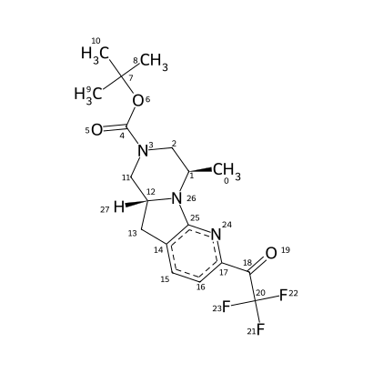 C[C@@H]1CN(C(=O)OC(C)(C)C)C[C@H]2Cc3ccc(C(=O)C(F)(F)F)nc3N21